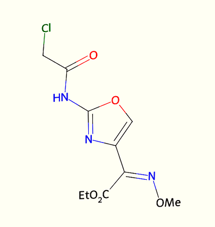 CCOC(=O)/C(=N\OC)c1coc(NC(=O)CCl)n1